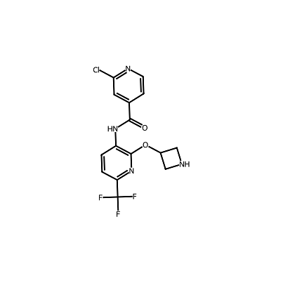 O=C(Nc1ccc(C(F)(F)F)nc1OC1CNC1)c1ccnc(Cl)c1